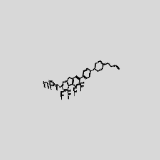 C=CCCC1CCC(c2ccc(-c3cc4c(c(F)c3F)-c3c(cc(CCC)c(F)c3F)C4)cc2)CC1